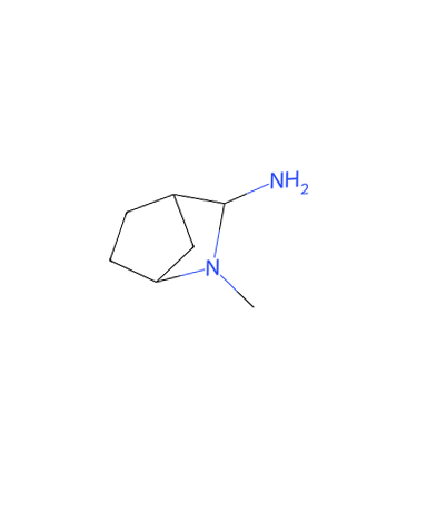 CN1C2CCC(C2)C1N